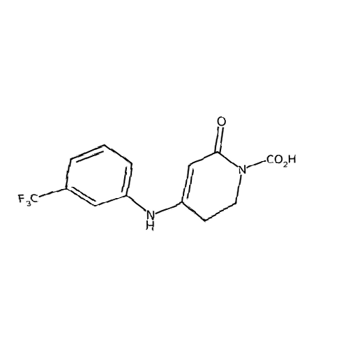 O=C(O)N1CCC(Nc2cccc(C(F)(F)F)c2)=CC1=O